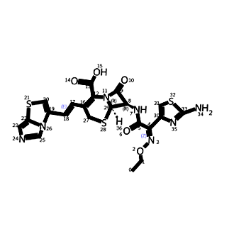 CCO/N=C(\C(=O)N[C@@H]1C(=O)N2C(C(=O)O)=C(/C=C/c3csc4cncn34)CS[C@H]12)c1csc(N)n1